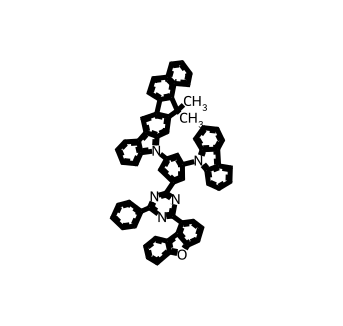 CC1(C)c2cc3c(cc2-c2ccc4ccccc4c21)c1ccccc1n3-c1cc(-c2nc(-c3ccccc3)nc(-c3cccc4oc5ccccc5c34)n2)cc(-n2c3ccccc3c3ccccc32)c1